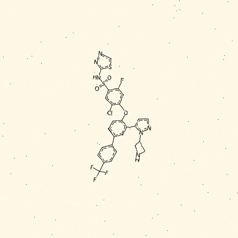 O=S(=O)(Nc1nncs1)c1cc(Cl)c(Oc2ccc(-c3ccc(C(F)(F)F)cc3)cc2-c2ccnn2C2CNC2)cc1F